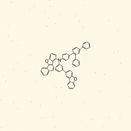 c1ccc(-c2ccc(-c3ccc(N(c4cccc(-c5ccc6oc7ccccc7c6c5)c4)c4cccc5oc6c7ccccc7ccc6c45)cc3)c(-c3ccccc3)c2)cc1